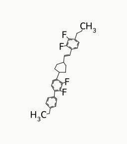 CCCc1ccc(/C=C/C2CCC(c3ccc(-c4ccc(CC)cc4)c(F)c3F)CC2)c(F)c1F